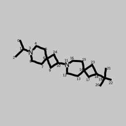 CC(C)N1CCC2(CC1)CC(N1CCC3(CC1)CC(C(C)(C)C)C3)C2